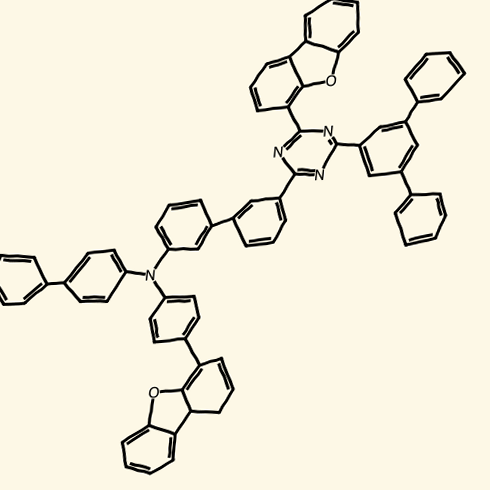 C1=CC(c2ccc(N(c3ccc(-c4ccccc4)cc3)c3cccc(-c4cccc(-c5nc(-c6cc(-c7ccccc7)cc(-c7ccccc7)c6)nc(-c6cccc7c6oc6ccccc67)n5)c4)c3)cc2)=C2Oc3ccccc3C2C1